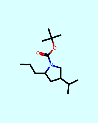 CCCC1CC(C(C)C)CN1C(=O)OC(C)(C)C